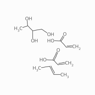 C=CC(=O)O.C=CC(=O)O.CC(O)C(O)CO.CC=CC